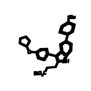 CCOC(=O)CCc1[nH]c2ccc(-c3ccc(C(C)(C)C)cc3)cc2c1-c1ccc(OC2CCCC2)cc1